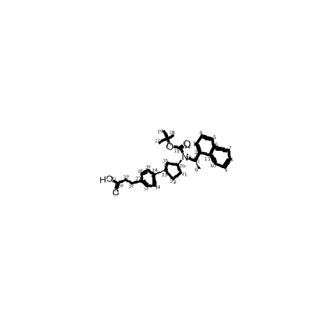 C[C@H](c1cccc2ccccc12)N(C(=O)OC(C)(C)C)[C@H]1CC[C@@H](c2ccc(CCC(=O)O)cc2)C1